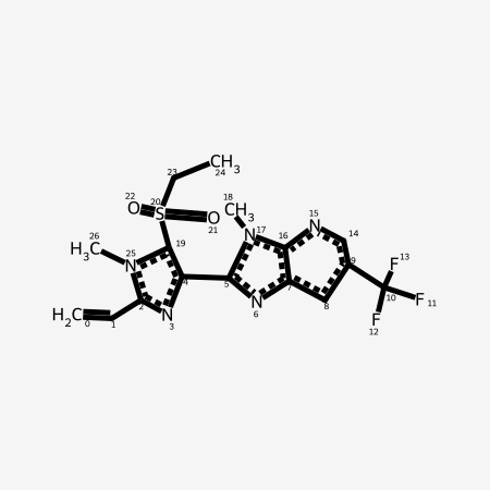 C=Cc1nc(-c2nc3cc(C(F)(F)F)cnc3n2C)c(S(=O)(=O)CC)n1C